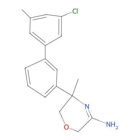 Cc1cc(Cl)cc(-c2cccc(C3(C)COCC(N)=N3)c2)c1